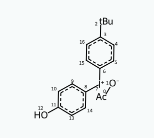 CC(=O)[O-].CC(C)(C)c1ccc([I+]c2ccc(O)cc2)cc1